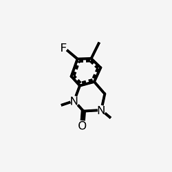 Cc1cc2c(cc1F)N(C)C(=O)N(C)C2